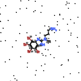 CCN(CCCN)c1nc2c(Br)c(Br)c(Br)c(Br)c2[nH]1